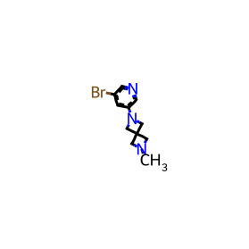 CN1CC2(C1)CN(c1cncc(Br)c1)C2